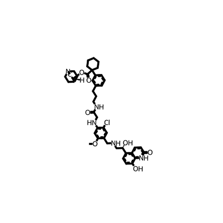 COc1cc(NCC(=O)NCCCc2cccc(C3(C(=O)O[C@H]4CN5CCC4CC5)CCCCC3)c2)c(Cl)cc1CNC[C@H](O)c1ccc(O)c2[nH]c(=O)ccc12